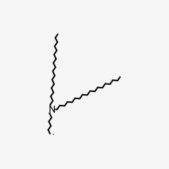 [CH2]CCCCCN(CCCCCCCCCCCCCCCCCC)CCCCCCCCCCCCCCCCCC